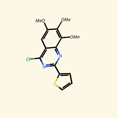 COc1cc2c(Cl)nc(-c3cccs3)nc2c(OC)c1OC